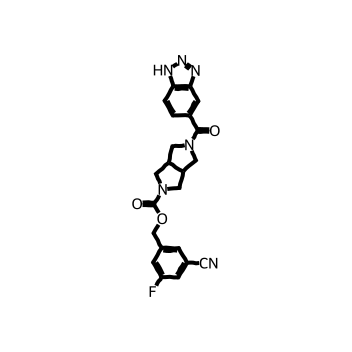 N#Cc1cc(F)cc(COC(=O)N2CC3CN(C(=O)c4ccc5[nH]nnc5c4)CC3C2)c1